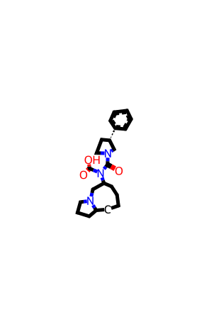 O=C(O)N(C(=O)N1CC[C@H](c2ccccc2)C1)C1CCCCC2CCCN2C1